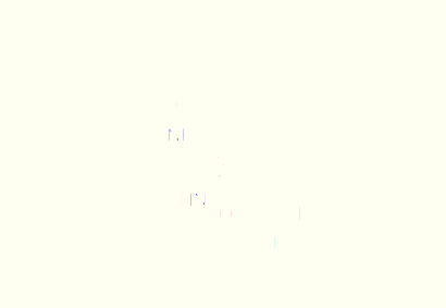 O=C(NCc1ccc(F)cc1)c1ccc2c(c1)C(=O)C(Cc1ccc(F)c(Cl)c1)C(=O)N2